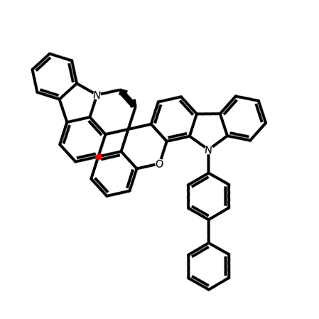 c1ccc(-c2ccc(-n3c4ccccc4c4ccc5c(c43)Oc3ccccc3C53c4ccccc4-n4c5ccccc5c5cccc3c54)cc2)cc1